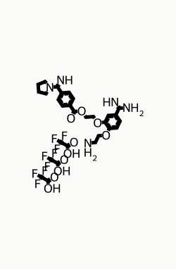 N=C(N)c1ccc(OCCN)c(OCCOC(=O)c2ccc(C(=N)N3CCCC3)cc2)c1.O=C(O)C(F)(F)F.O=C(O)C(F)(F)F.O=C(O)C(F)(F)F